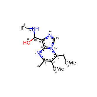 COCc1c(OC)c(C)nc2c(C(O)NC(C)C)ncn12